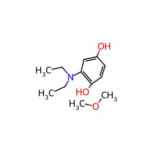 CCN(CC)c1cc(O)ccc1O.COC